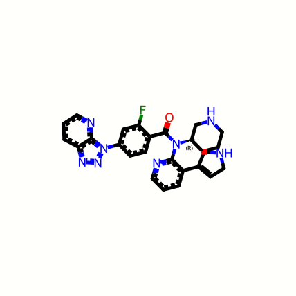 O=C(c1ccc(-n2nnc3cccnc32)cc1F)N(c1ncccc1C1=CCNC1)[C@@H]1CCCNC1